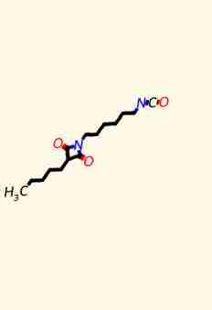 CCCCCC1C(=O)N(CCCCCCN=C=O)C1=O